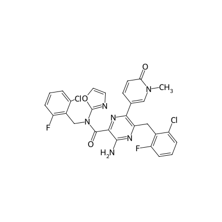 Cn1cc(-c2nc(C(=O)N(Cc3c(F)cccc3Cl)c3ncco3)c(N)nc2Cc2c(F)cccc2Cl)ccc1=O